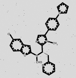 Cn1c(-c2ccc(-n3cccc3)cc2)cnc1[C@H](Cc1ccccn1)N(C=O)c1cc2cc(Cl)ccc2o1